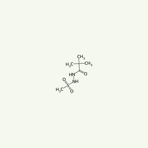 CC(C)(C)C(=O)NNS(C)(=O)=O